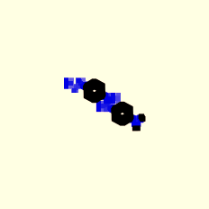 CN(C)c1ccc(NNc2ccc(N)cc2)cc1